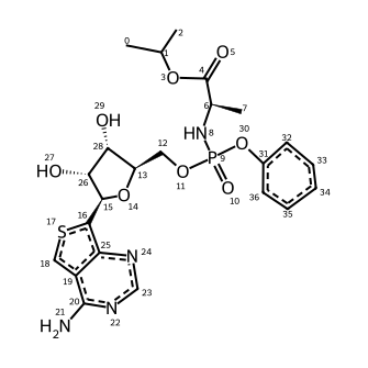 CC(C)OC(=O)[C@@H](C)NP(=O)(OC[C@H]1O[C@@H](c2scc3c(N)ncnc23)[C@H](O)[C@@H]1O)Oc1ccccc1